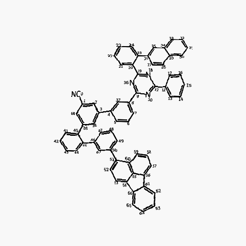 N#Cc1cc(-c2cccc(-c3nc(-c4ccccc4)nc(-c4ccccc4-c4ccc5ccccc5c4)n3)c2)cc(-c2ccccc2-c2cccc(-c3ccc4c5c(cccc35)-c3ccccc3-4)c2)c1